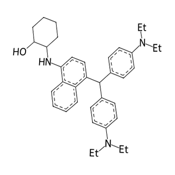 CCN(CC)c1ccc(C(c2ccc(N(CC)CC)cc2)c2ccc(NC3CCCCC3O)c3ccccc23)cc1